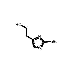 CCCCc1nc(CCO)cs1